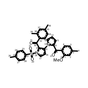 COc1cc(C)ccc1C(=O)c1cccn1-c1ccn(S(=O)(=O)c2ccc(C)cc2)c1C(=O)c1ccc(C)cc1C